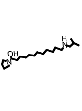 CC(C)CNCCCCCCCCCCCC(O)N1CCCC1